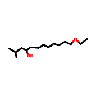 CCOCCCCCCCCC(O)CC(C)C